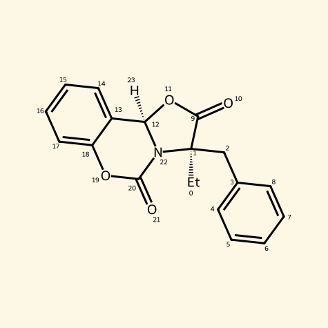 CC[C@@]1(Cc2ccccc2)C(=O)O[C@@H]2c3ccccc3OC(=O)N21